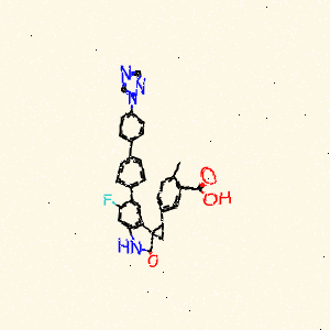 Cc1ccc(C2CC23C(=O)Nc2cc(F)c(-c4ccc(-c5ccc(-n6cncn6)cc5)cc4)cc23)cc1C(=O)O